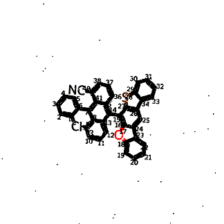 Cc1ccccc1-c1c2ccccc2c(-c2c3oc4ccccc4c3cc3c2sc2ccccc23)c2cccc(C#N)c12